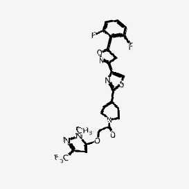 Cn1nc(C(F)(F)F)cc1OCC(=O)N1CCC(c2nc(C3=NOC(c4c(F)cccc4F)C3)cs2)CC1